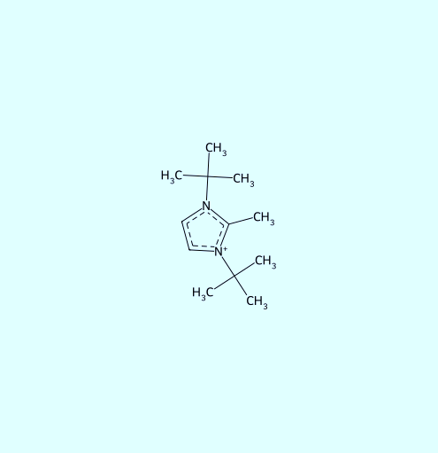 Cc1n(C(C)(C)C)cc[n+]1C(C)(C)C